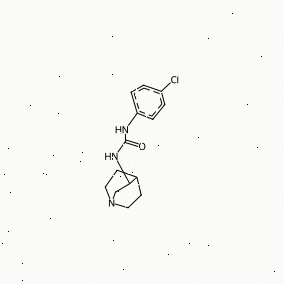 O=C(Nc1ccc(Cl)cc1)NC1CN2CCC1CC2